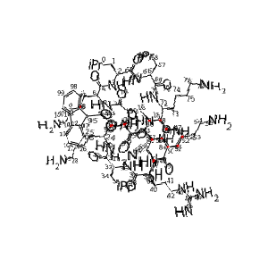 CC(C)C[C@H](NC(=O)[C@H](CCCCN)NC(=O)[C@H](CCCCN)NC(=O)[C@H](CCCCN)NC(=O)[C@H](CC(C)C)NC(=O)[C@H](CCCNC(=N)N)NC(=O)[C@H](CCCCN)NC(=O)[C@@H](N)CS)C(=O)N[C@@H](CC(C)C)C(=O)N[C@@H](CCCCN)C(=O)N[C@@H](Cc1ccccc1)C(=O)C(=O)OCC1c2ccccc2-c2ccccc21